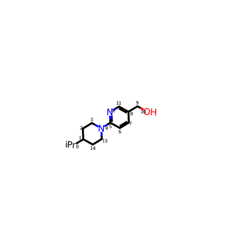 CC(C)C1CCN(c2ccc(CO)cn2)CC1